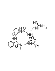 CC(C)C(=O)N[C@]1(C)CCNC(=O)[C@@H](c2ccccc2)NC(=O)C2(CCCC2)NC(=O)[C@H](CCCNC(=N)N)NC1=O